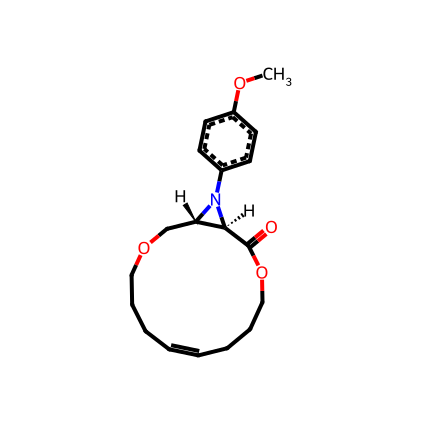 COc1ccc(N2[C@H]3COCCC/C=C\CCCOC(=O)[C@@H]32)cc1